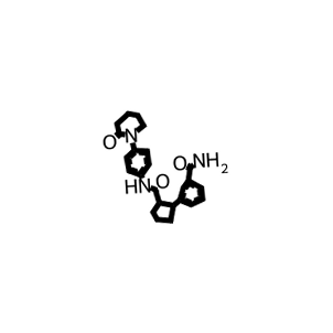 NC(=O)c1cccc(C2CCCC2C(=O)Nc2ccc(N3CCCCC3=O)cc2)c1